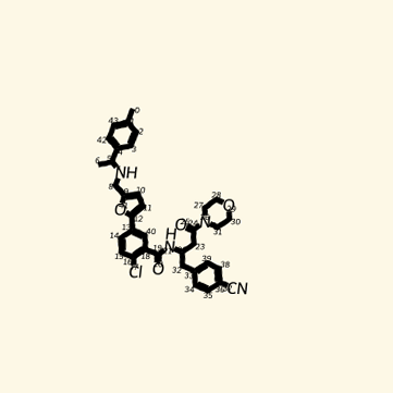 Cc1ccc(C(C)NCc2ccc(-c3ccc(Cl)c(C(=O)NC(CC(=O)N4CCOCC4)Cc4ccc(C#N)cc4)c3)o2)cc1